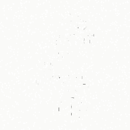 Cc1cc(C)c(C(Cc2ccc3c(c2)C(C)(C)c2cc4c(cc2-3)C(C)(C)c2ccc3oc5ccccc5c3c2-4)Cc2ccc3c(c2)C(C)(C)c2cc(-c4ccccc4C(C)(C)C)c4oc5ccccc5c4c2-3)c(C)c1